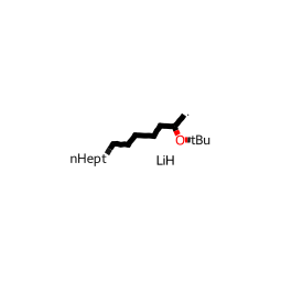 [CH2]C(CCCCCCCCCCCC)OC(C)(C)C.[LiH]